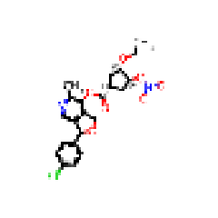 CCO[C@H]1C[C@@H](C(=O)Oc2c(C)ncc3c2COC3c2ccc(Cl)cc2)C[C@@H]1O[N+](=O)[O-]